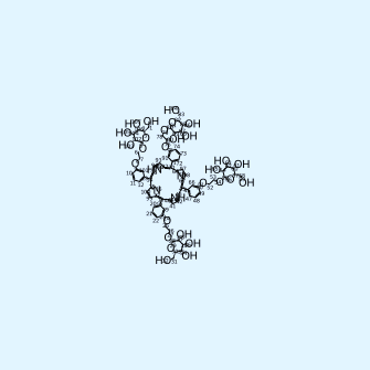 OC[C@H]1O[C@@H](OCCOc2cccc(-c3c4nc(c(-c5cccc(OCCO[C@@H]6O[C@H](CO)[C@@H](O)[C@H](O)[C@H]6O)c5)c5ccc([nH]5)c(-c5cccc(OCCO[C@@H]6O[C@H](CO)[C@@H](O)[C@H](O)[C@H]6O)c5)c5nc(c(-c6cccc(OCCO[C@@H]7O[C@H](CO)[C@@H](O)[C@H](O)[C@H]7O)c6)c6ccc3[nH]6)CC5)C=C4)c2)[C@H](O)[C@@H](O)[C@@H]1O